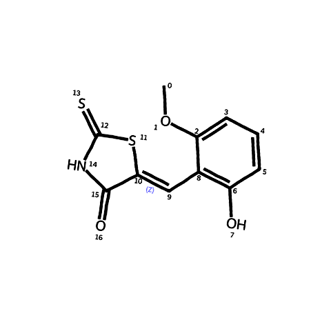 COc1cccc(O)c1/C=C1\SC(=S)NC1=O